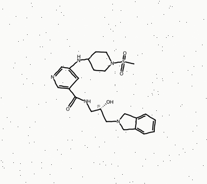 CS(=O)(=O)N1CCC(Nc2cncc(C(=O)NC[C@H](O)CN3Cc4ccccc4C3)c2)CC1